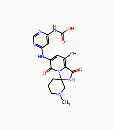 Cc1cc(Nc2cc(NC(=O)O)ncn2)c(=O)n2c1C(=O)NC21CCCN(C)C1